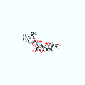 C[C@H]1O[C@@H](O[C@H]2CC[C@]3(C)C4CC[C@]5(C)[C@@H](C6=CC(=O)CC6)CC[C@]5(O)C4CC[C@@H]3C2)C[C@H](O)[C@@H]1O[C@H]1C[C@H](O)[C@H](O[C@H]2C[C@H](C)[C@@H](C)[C@@H](C)C2)[C@@H](C)O1